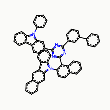 c1ccc(-c2cccc(-c3nc(-c4ccc5c6ccccc6n(-c6ccccc6)c5c4)nc(-c4c(-n5c6ccccc6c6cc7ccccc7cc65)ccc5ccccc45)n3)c2)cc1